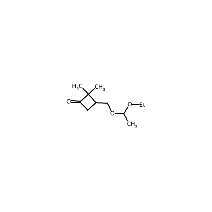 CCOC(C)OCC1CC(=O)C1(C)C